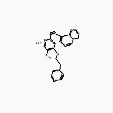 Cc1cnc(/C=C\c2cccc3ccccc23)cc1OCCc1ccccc1.Cl